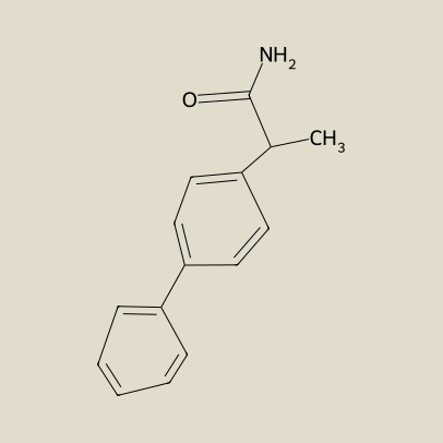 CC(C(N)=O)c1ccc(-c2ccccc2)cc1